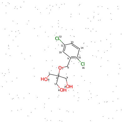 OCC(CO)(CO)OCc1cc(Cl)ccc1Cl